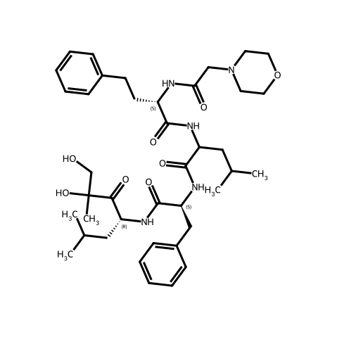 CC(C)CC(NC(=O)[C@H](CCc1ccccc1)NC(=O)CN1CCOCC1)C(=O)N[C@@H](Cc1ccccc1)C(=O)N[C@H](CC(C)C)C(=O)C(C)(O)CO